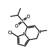 CC(C)S(=O)(=O)C1=CN(C)Cc2ccc(Cl)n21